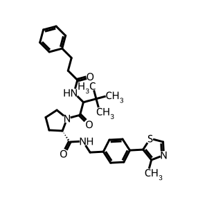 Cc1ncsc1-c1ccc(CNC(=O)[C@@H]2CCCN2C(=O)C(NC(=O)CCc2ccccc2)C(C)(C)C)cc1